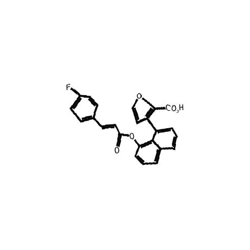 O=C(C=Cc1ccc(F)cc1)Oc1cccc2cccc(-c3ccoc3C(=O)O)c12